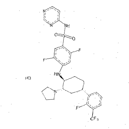 Cl.O=S(=O)(Nc1ccncn1)c1cc(F)c(N[C@H]2CC[C@H](c3cccc(C(F)(F)F)c3F)C[C@@H]2N2CCCC2)cc1F